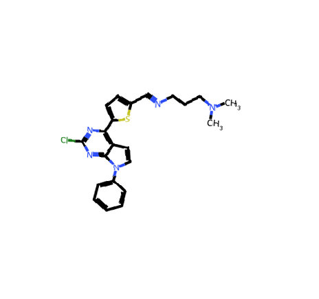 CN(C)CCCN=Cc1ccc(-c2nc(Cl)nc3c2ccn3-c2ccccc2)s1